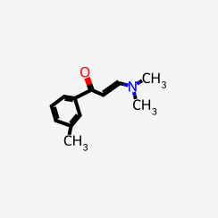 Cc1cccc(C(=O)C=CN(C)C)c1